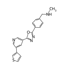 CNCc1ccc(-c2nnc(-c3cncc(-c4ccsc4)c3)o2)cc1